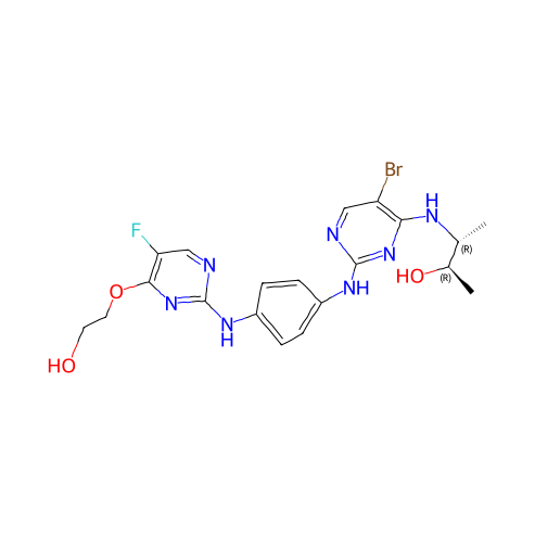 C[C@@H](O)[C@@H](C)Nc1nc(Nc2ccc(Nc3ncc(F)c(OCCO)n3)cc2)ncc1Br